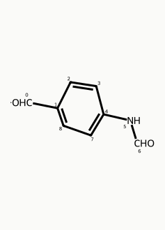 O=[C]c1ccc(NC=O)cc1